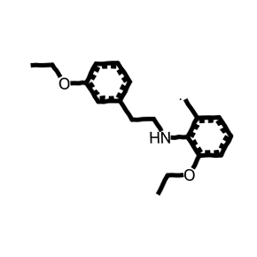 [CH2]c1cccc(OCC)c1NCCc1cccc(OCC)c1